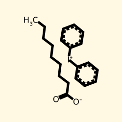 CCCCCCCCC(=O)[O-].c1ccc([I+]c2ccccc2)cc1